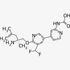 C=C(C)C[C@](C)(N)COc1ncc(-c2ccnc(NC(=O)O)c2)cc1C(F)F